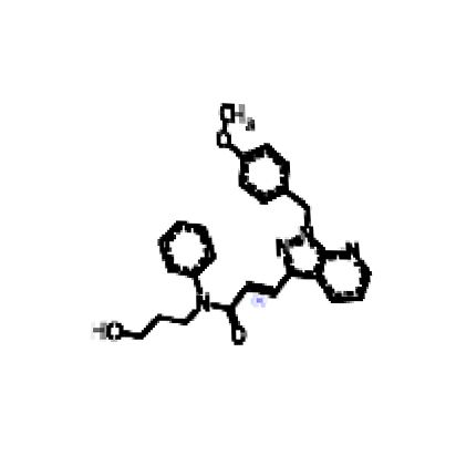 COc1ccc(Cn2nc(/C=C/C(=O)N(CCCO)c3ccccc3)c3cccnc32)cc1